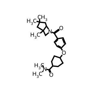 CN(C)C(=O)C1CCC(Oc2ccc(C(=O)N3CC4(C)CC(C)(C)CC34)cc2)CC1